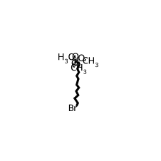 CO[Si](CCCCCCCCCCCBr)(OC)OC